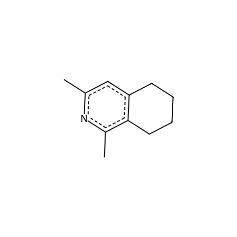 Cc1cc2c(c(C)n1)CCCC2